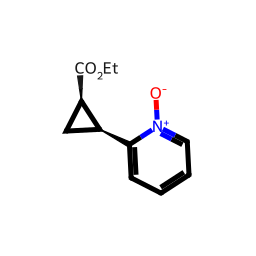 CCOC(=O)[C@@H]1C[C@@H]1c1cccc[n+]1[O-]